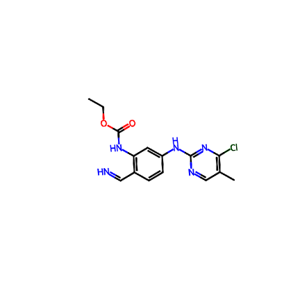 CCOC(=O)Nc1cc(Nc2ncc(C)c(Cl)n2)ccc1C=N